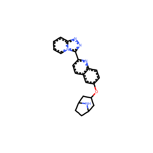 c1ccn2c(-c3ccc4cc(OC5CC6CCC(C5)N6)ccc4n3)nnc2c1